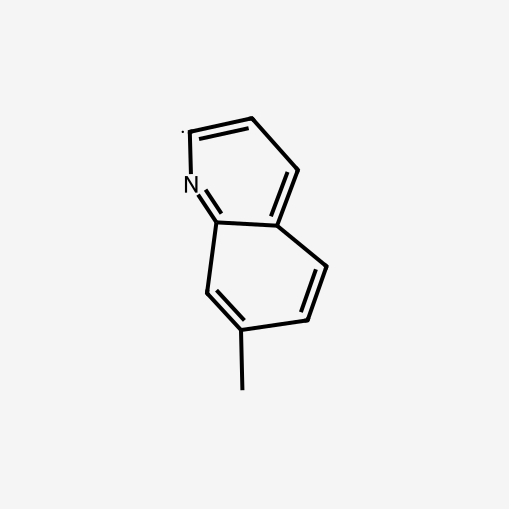 Cc1ccc2cc[c]nc2c1